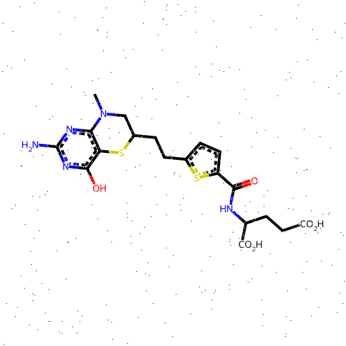 CN1CC(CCc2ccc(C(=O)NC(CCC(=O)O)C(=O)O)s2)Sc2c(O)nc(N)nc21